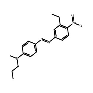 CCCN(C)c1ccc(/N=N/c2ccc([N+](=O)[O-])c(CC)c2)cc1